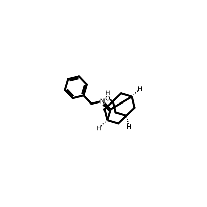 O[C@@]12C[C@H]3C[C@H](C1)C(=NCc1ccccc1)[C@@H](C3)C2